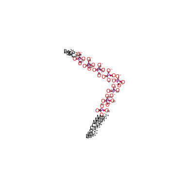 O=P([O-])([O-])[O-].O=P([O-])([O-])[O-].O=P([O-])([O-])[O-].O=P([O-])([O-])[O-].O=P([O-])([O-])[O-].O=P([O-])([O-])[O-].O=P([O-])([O-])[O-].O=P([O-])([O-])[O-].[Ba+2].[Ba+2].[Ba+2].[Ca+2].[Ca+2].[Ca+2].[Mg+2].[Mg+2].[Mg+2].[Sr+2].[Sr+2].[Sr+2]